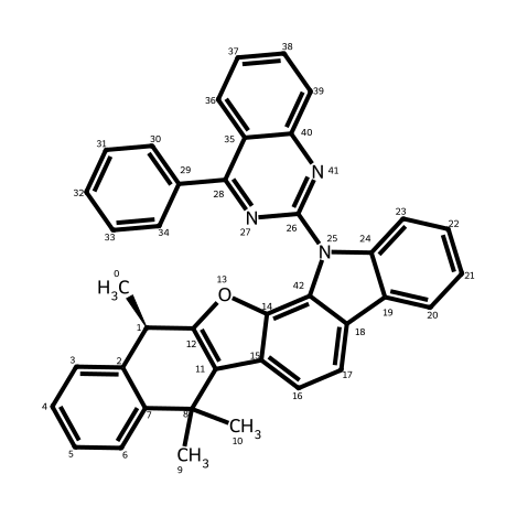 C[C@@H]1c2ccccc2C(C)(C)c2c1oc1c2ccc2c3ccccc3n(-c3nc(-c4ccccc4)c4ccccc4n3)c21